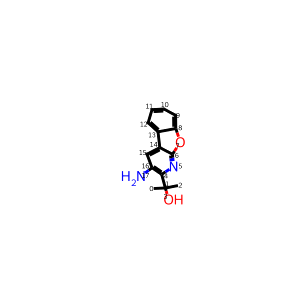 CC(C)(O)c1nc2oc3ccccc3c2cc1N